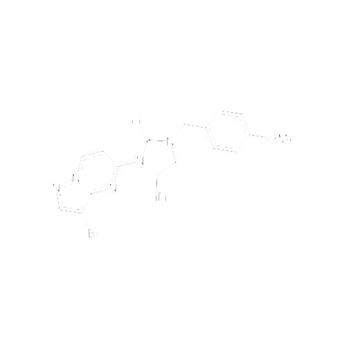 COc1ccc(CN2CC(C(C)C)N(c3ccn4ncc(Br)c4n3)C2=O)cc1